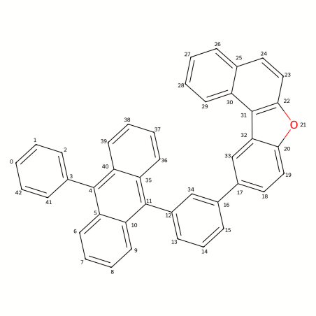 c1ccc(-c2c3ccccc3c(-c3cccc(-c4ccc5oc6ccc7ccccc7c6c5c4)c3)c3ccccc23)cc1